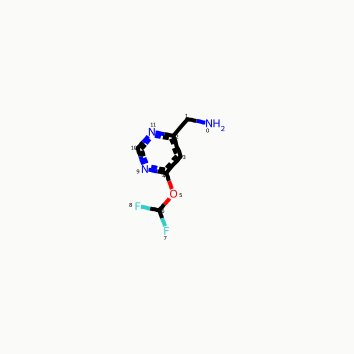 NCc1cc(OC(F)F)ncn1